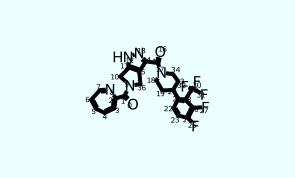 O=C(C1=C=CC=CC=N1)N1Cc2[nH]nc(C(=O)N3CCC(c4ccc(F)c(F)c4C(F)(F)F)CC3)c2C1